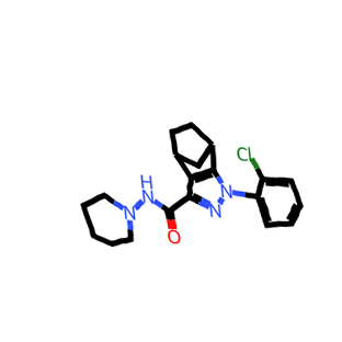 O=C(NN1CCCCC1)c1nn(-c2ccccc2Cl)c2c1C1CCC2C1